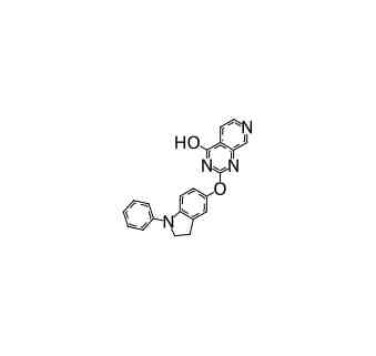 Oc1nc(Oc2ccc3c(c2)CCN3c2ccccc2)nc2cnccc12